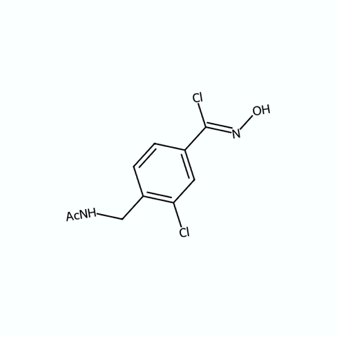 CC(=O)NCc1ccc(C(Cl)=NO)cc1Cl